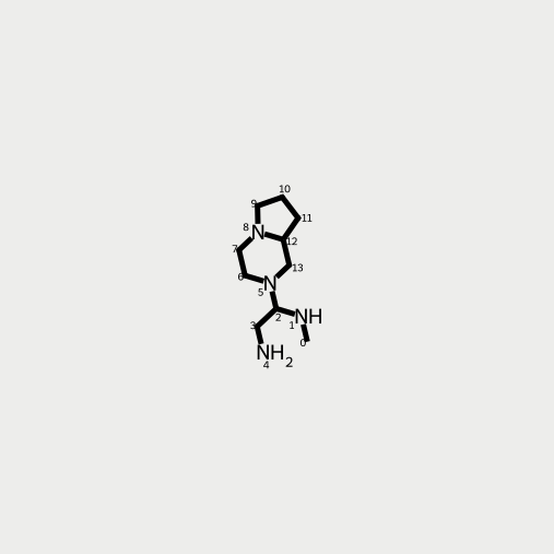 CNC(CN)N1CCN2CCCC2C1